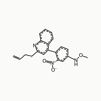 C=CC[CH]c1cc(-c2ccc(NOC)cc2[N+](=O)[O-])c2ccccc2n1